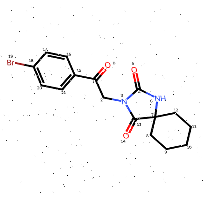 O=C(CN1C(=O)NC2(CCCCC2)C1=O)c1ccc(Br)cc1